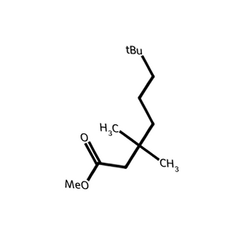 COC(=O)CC(C)(C)CCCC(C)(C)C